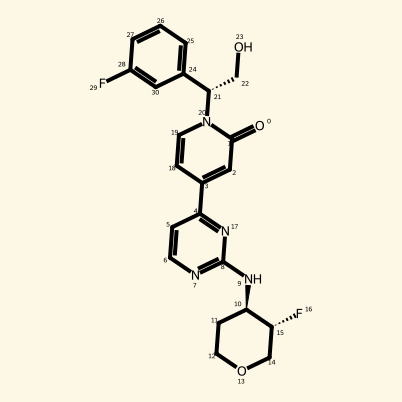 O=c1cc(-c2ccnc(N[C@@H]3CCOC[C@H]3F)n2)ccn1[C@@H](CO)c1cccc(F)c1